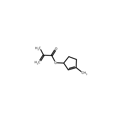 C=C(C)C(=O)OC1C=C(C)CC1